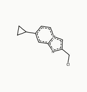 ClCc1cn2ccc(C3CC3)cc2n1